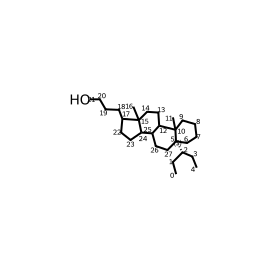 CCC(CC)[C@@]12CCCCC1(C)C1CCC3(C)C(CCCO)CCC3C1CC2